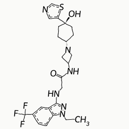 CCn1nc(NCC(=O)NC2CN([C@H]3CC[C@@](O)(c4cncs4)CC3)C2)c2cc(C(F)(F)F)ccc21